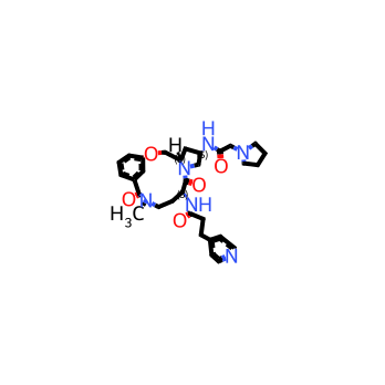 CN1CC[C@H](NC(=O)CCc2ccncc2)C(=O)N2C[C@@H](NC(=O)CN3CCCC3)C[C@H]2COc2cccc(c2)C1=O